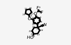 N#CC1(c2ccc(OC(F)F)c(OC3CCCC3)c2)CCC(O)CC1